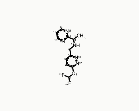 CC(NCc1ccc(OC(F)F)nn1)c1ncccn1